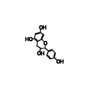 Oc1ccc(C2Oc3cc(O)cc(O)c3C[C@@H]2O)cc1